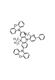 Cc1nc(-c2ccccc2)ccc1N1c2ccc(N3c4ccccc4Oc4ccccc43)cc2C(C)(C)c2cc(N3c4ccccc4Oc4ccccc43)ccc21